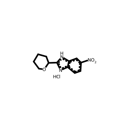 Cl.O=[N+]([O-])c1ccc2nc(C3CCCCO3)[nH]c2c1